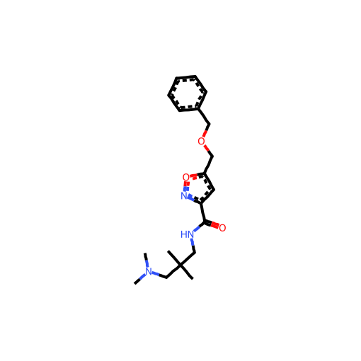 CN(C)CC(C)(C)CNC(=O)c1cc(COCc2ccccc2)on1